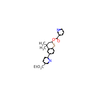 CCOC(=O)c1ccc(-c2ccc3c(c2)C(C)(C)CC(OC(=O)c2cccnc2)S3)nc1